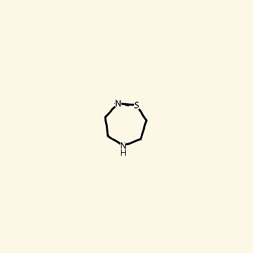 C1CNCCS[N]1